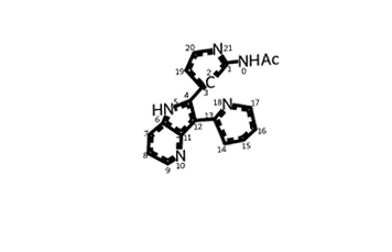 CC(=O)Nc1cc(-c2[nH]c3cccnc3c2-c2ccccn2)ccn1